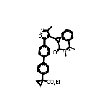 CCOC(=O)C1(c2ccc(-c3ccc(-c4onc(C)c4C4CC4C(=O)N(C)[C@H](C)c4ccccc4)cc3)cc2)CC1